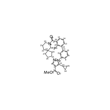 COC(=O)c1cnn(-c2cccc(-c3cccc(C(=O)N4CCCC5(CCCC5)C4)c3F)c2)c1C1CC1